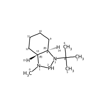 CN1PN(C(C)(C)C)[C@@H]2CCCC[C@H]21